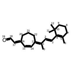 CC(C=CC1=C(C)CCCC1(C)C)=C1C=CC(=CC=O)CCC1